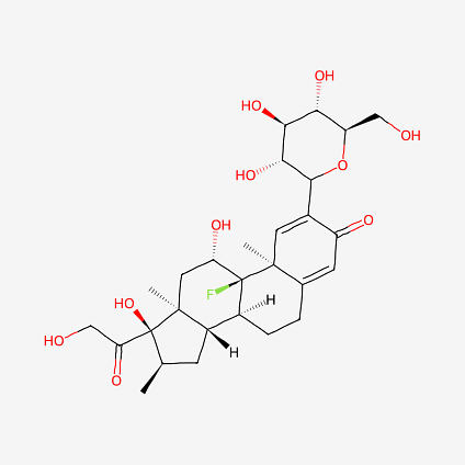 C[C@@H]1C[C@H]2[C@@H]3CCC4=CC(=O)C(C5O[C@H](CO)[C@@H](O)[C@H](O)[C@H]5O)=C[C@]4(C)[C@@]3(F)[C@@H](O)C[C@]2(C)[C@@]1(O)C(=O)CO